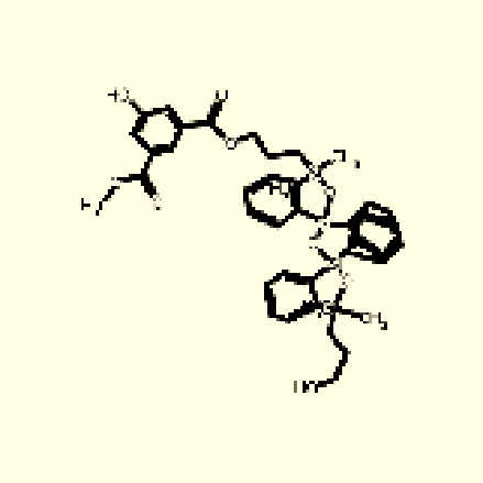 COC(=O)c1cc(O)cc(C(=O)OCCC[Si](C)(C)O[Si](O[Si](O[Si](C)(C)CCCO)(c2ccccc2)c2ccccc2)(c2ccccc2)c2ccccc2)c1